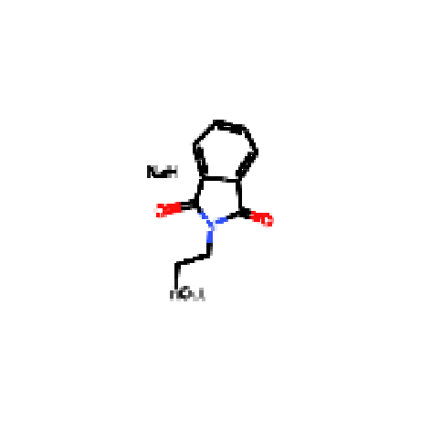 CCCCCCCCCCN1C(=O)c2ccccc2C1=O.[NaH]